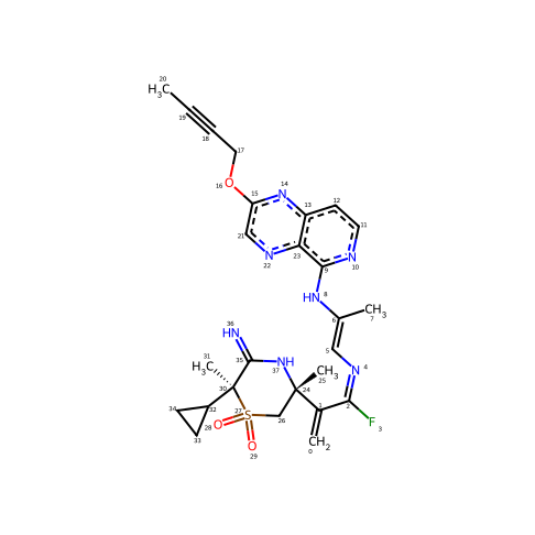 C=C(/C(F)=N\C=C(/C)Nc1nccc2nc(OCC#CC)cnc12)[C@]1(C)CS(=O)(=O)[C@@](C)(C2CC2)C(=N)N1